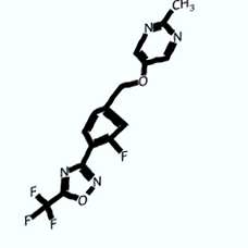 Cc1ncc(OCc2ccc(-c3noc(C(F)(F)F)n3)c(F)c2)cn1